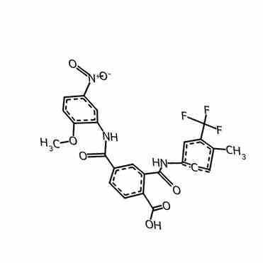 COc1ccc([N+](=O)[O-])cc1NC(=O)c1ccc(C(=O)O)c(C(=O)Nc2ccc(C)c(C(F)(F)F)c2)c1